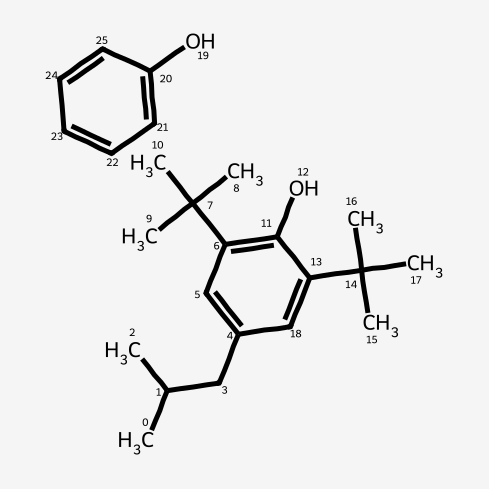 CC(C)Cc1cc(C(C)(C)C)c(O)c(C(C)(C)C)c1.Oc1ccccc1